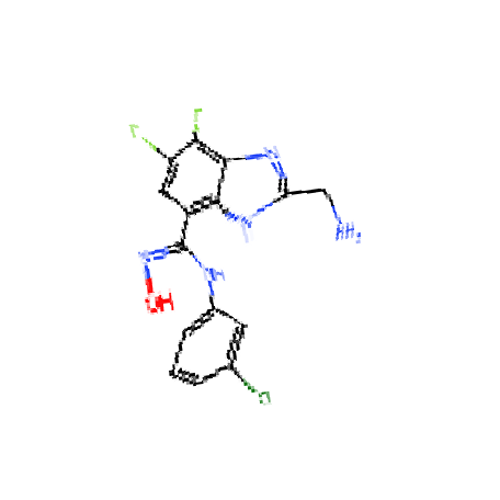 NCc1nc2c(F)c(F)cc(/C(=N/O)Nc3cccc(Cl)c3)c2[nH]1